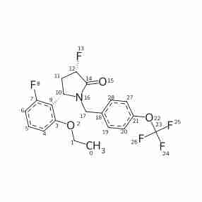 CCOc1cccc(F)c1[C@@H]1C[C@H](F)C(=O)N1Cc1ccc(OC(F)(F)F)cc1